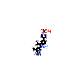 C=Cc1cc(-c2[nH]c3ccc(C4CCN(C(=O)O)CC4)cc3c2C(C)C)cn2ncnc12